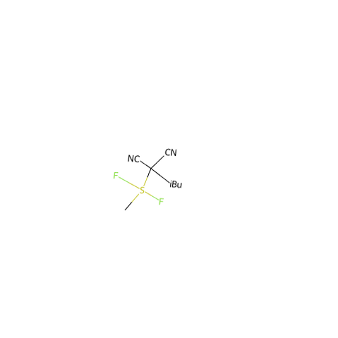 CCC(C)C(C#N)(C#N)S(C)(F)F